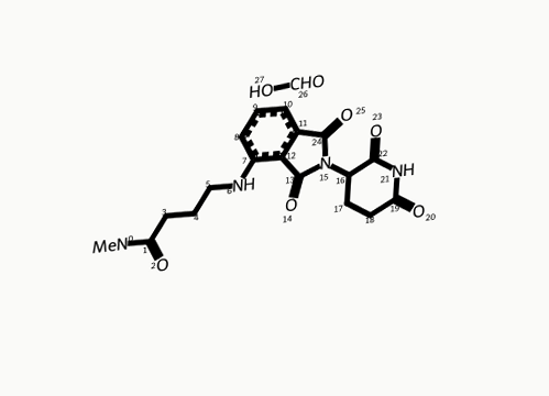 CNC(=O)CCCNc1cccc2c1C(=O)N(C1CCC(=O)NC1=O)C2=O.O=CO